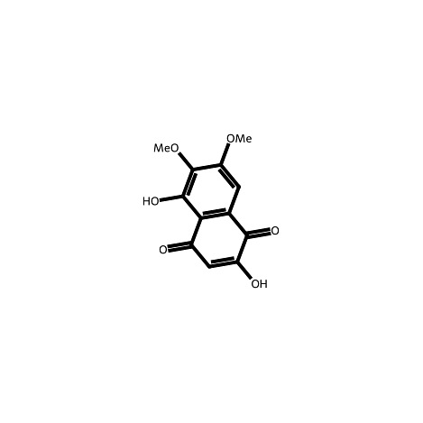 COc1cc2c(c(O)c1OC)C(=O)C=C(O)C2=O